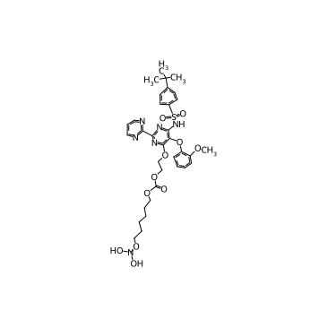 COc1ccccc1Oc1c(NS(=O)(=O)c2ccc(C(C)(C)C)cc2)nc(-c2ncccn2)nc1OCCOC(=O)OCCCCCCON(O)O